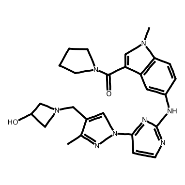 Cc1nn(-c2ccnc(Nc3ccc4c(c3)c(C(=O)N3CCCC3)cn4C)n2)cc1CN1CC(O)C1